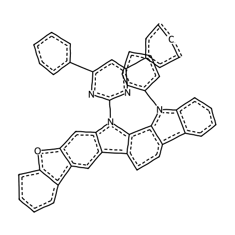 c1ccc(-c2cc(-c3ccccc3)nc(-n3c4cc5oc6ccccc6c5cc4c4ccc5c6ccccc6n(-c6ccccc6)c5c43)n2)cc1